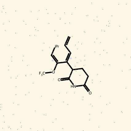 C=C/C=C(\C(=C/C(C)C)OC(F)(F)F)C1CCC(=O)NC1=O